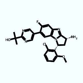 COc1cccc(Cl)c1[C@H]1C[C@@H](N)c2nc3cc(F)c(-c4cnc(C(C)(C)O)nc4)cc3n21